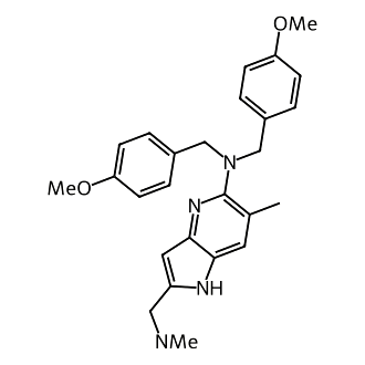 CNCc1cc2nc(N(Cc3ccc(OC)cc3)Cc3ccc(OC)cc3)c(C)cc2[nH]1